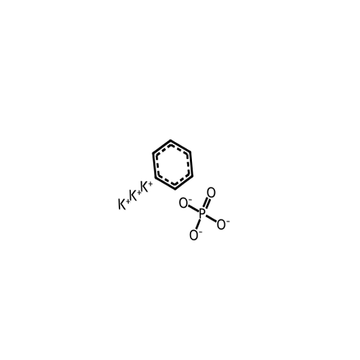 O=P([O-])([O-])[O-].[K+].[K+].[K+].c1ccccc1